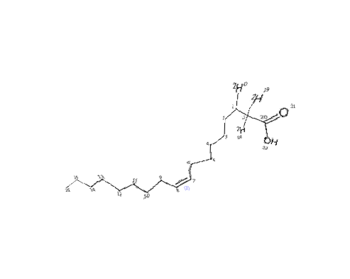 [2H]C(CCCCC/C=C\CCCCCCCC)C([2H])([2H])C(=O)O